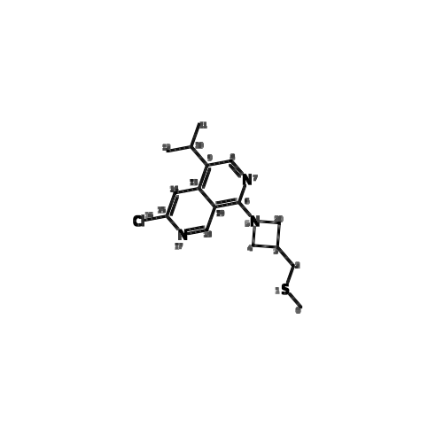 CSCC1CN(c2ncc(C(C)C)c3cc(Cl)ncc23)C1